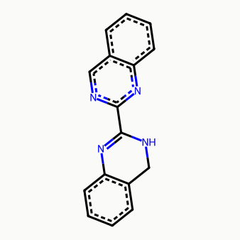 c1ccc2c(c1)CNC(c1ncc3ccccc3n1)=N2